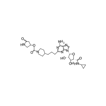 Nc1nc(CCCC2CCN(C(=O)OC3CNC(=O)C3)CC2)nc2c1ncn2[C@@H]1O[C@H](C(=O)NC2CC2)C(O)[C@@H]1O